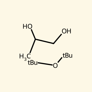 CC(C)(C)OC(C)(C)C.CC(O)CO